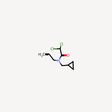 C=CCN(CC1CC1)C(=O)C(Cl)Cl